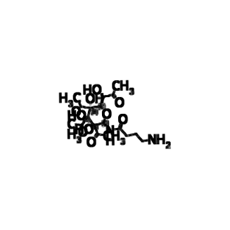 CC(=O)C(O)[C@H]1O[C@@H](NC(=O)CCCN)[C@@](O)(C(C)=O)[C@](O)(C(C)=O)[C@@]1(O)C(C)=O